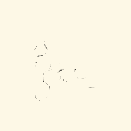 CC1=C(C(=O)NC2CCCCC2)CC(c2cc(F)ccc2F)N1CC1CCCCC1